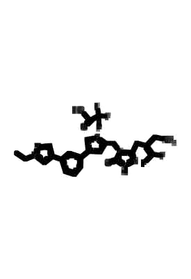 CCn1cc(-c2cccc(-c3csc(Cn4c(CC(CN)=C(F)F)n[nH]c4=O)c3)c2)cn1.O=C(O)C(F)(F)F